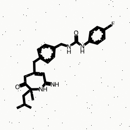 CC(C)CC1(C)NC(=N)C=C(Cc2ccc(CNC(=O)Nc3ccc(F)cc3)cc2)CC1=O